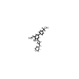 CC(C)(O)c1ccc(C2=C/C(=N/O)C(=N)C(N3CC(CN4CCOCC4)C3)=C2)cc1